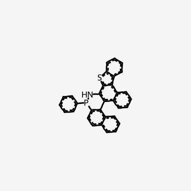 c1ccc(P2Nc3c(c4ccccc4c4c3sc3ccccc34)-c3c2ccc2ccccc32)cc1